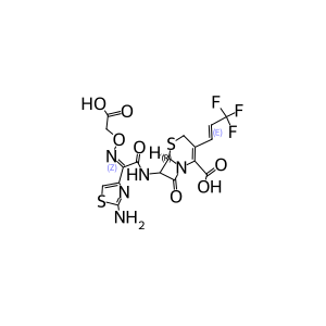 Nc1nc(/C(=N/OCC(=O)O)C(=O)NC2C(=O)N3C(C(=O)O)=C(/C=C/C(F)(F)F)CS[C@H]23)cs1